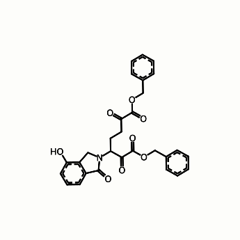 O=C(CCC(C(=O)C(=O)OCc1ccccc1)N1Cc2c(O)cccc2C1=O)C(=O)OCc1ccccc1